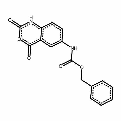 O=C(Nc1ccc2[nH]c(=O)oc(=O)c2c1)OCc1ccccc1